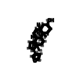 C[C@]12CC[C@H](O)C[C@H]1CC[C@H]1[C@H]3CC[C@H](c4ccoc4)[C@@]3(C)CC[C@@H]12